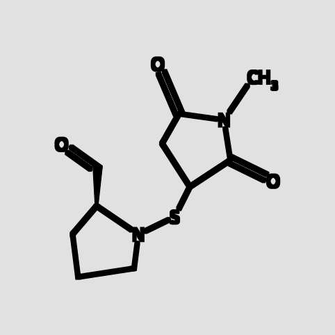 CN1C(=O)CC(SN2CCC[C@H]2C=O)C1=O